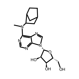 CN(c1ncnc2c1ncn2[C@@H]1O[C@H](CO)[C@@H](O)[C@H]1O)C1CC2CCC1C2